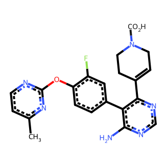 Cc1ccnc(Oc2ccc(-c3c(N)ncnc3C3=CCN(C(=O)O)CC3)cc2F)n1